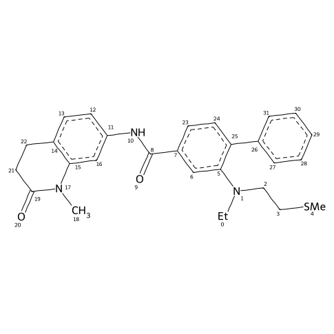 CCN(CCSC)c1cc(C(=O)Nc2ccc3c(c2)N(C)C(=O)CC3)ccc1-c1ccccc1